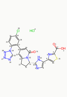 Cl.O=C(O)c1nc(-c2cnc([C@@H]3CCc4cc(-c5cc(Cl)ccc5-n5cnnn5)cc(=O)n43)[nH]2)cs1